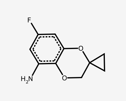 Nc1cc(F)cc2c1OCC1(CC1)O2